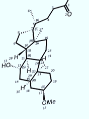 COC(=O)CC[C@@H](C)[C@H]1CC[C@H]2[C@@H]3[C@@H](O)C[C@@H]4C[C@H](OC)CC[C@]4(C)[C@H]3CC[C@]12C